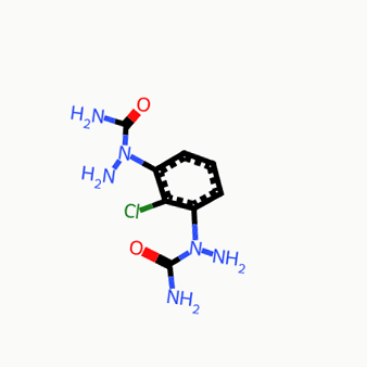 NC(=O)N(N)c1cccc(N(N)C(N)=O)c1Cl